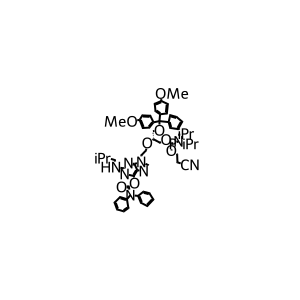 COc1ccc(C(OC[C@H](COP(OCCC#N)N(C(C)C)C(C)C)OCCn2cnc3c(OC(=O)N(c4ccccc4)c4ccccc4)nc(NCC(C)C)nc32)(c2ccccc2)c2ccc(OC)cc2)cc1